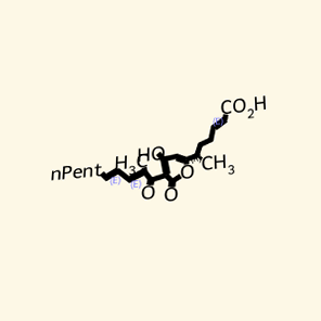 CCCCC/C=C/C=C(\C)C(=O)c1c(O)cc([C@H](C)CC/C=C/C(=O)O)oc1=O